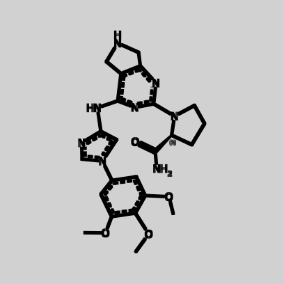 COc1cc(-n2cnc(Nc3nc(N4CCC[C@H]4C(N)=O)nc4c3CNC4)c2)cc(OC)c1OC